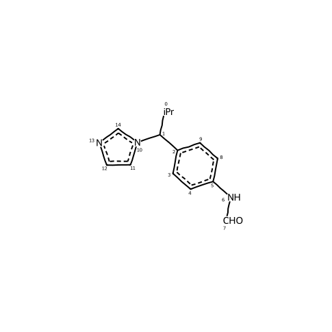 CC(C)C(c1ccc(NC=O)cc1)n1ccnc1